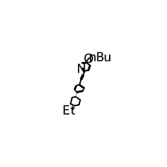 CCCCOc1ccc(C#Cc2ccc([C@H]3CC[C@H](CC)CC3)cc2)nc1